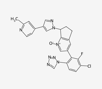 Cc1cc(-c2cnn(C3CCc4cc(-c5c(-n6cnnn6)ccc(Cl)c5F)c[n+]([O-])c43)c2)ccn1